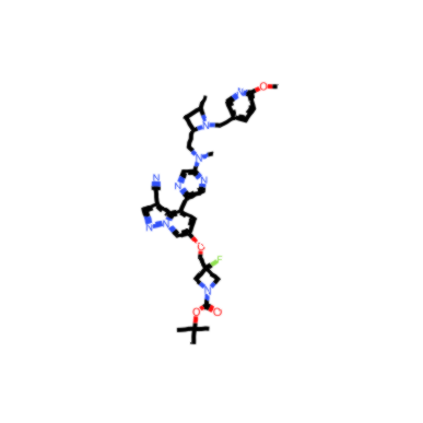 COc1ccc(CN2C(C)CC2CN(C)c2cnc(-c3cc(OCC4(F)CN(C(=O)OC(C)(C)C)C4)cn4ncc(C#N)c34)cn2)cn1